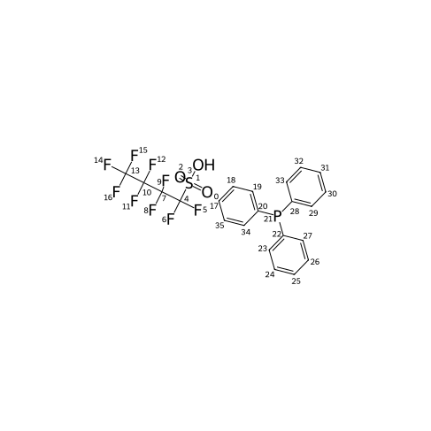 O=S(=O)(O)C(F)(F)C(F)(F)C(F)(F)C(F)(F)F.c1ccc(P(c2ccccc2)c2ccccc2)cc1